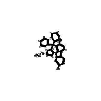 Brc1ccc2c(c1)Cc1c-2ccc(Br)c1C(C1=CC=CC1)(c1ccccc1)c1ccccc1.Cl.Cl.[Zr]